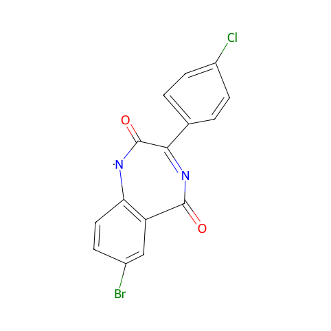 O=C1[N]c2ccc(Br)cc2C(=O)N=C1c1ccc(Cl)cc1